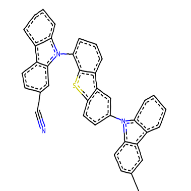 Cc1ccc2c(c1)c1ccccc1n2-c1ccc2sc3c(-n4c5ccccc5c5ccc(C#N)cc54)cccc3c2c1